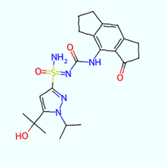 CC(C)n1nc(S(N)(=O)=NC(=O)Nc2c3c(cc4c2C(=O)CC4)CCC3)cc1C(C)(C)O